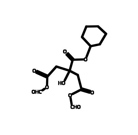 O=COC(=O)CC(O)(CC(=O)OC=O)C(=O)OC1CCCCC1